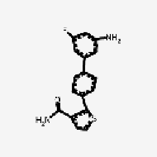 NC(=O)c1ccsc1-c1ccc(-c2cc(N)cc(F)c2)cc1